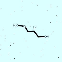 COCCCO.[La]